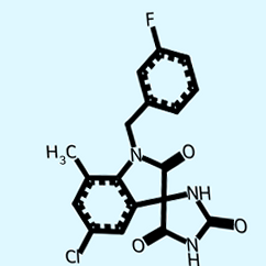 Cc1cc(Cl)cc2c1N(Cc1cccc(F)c1)C(=O)C21NC(=O)NC1=O